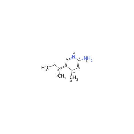 CC/C(C)=C1\C=NC(N)=CC1C